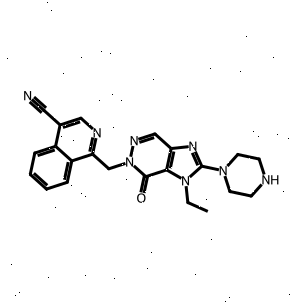 CCn1c(N2CCNCC2)nc2cnn(Cc3ncc(C#N)c4ccccc34)c(=O)c21